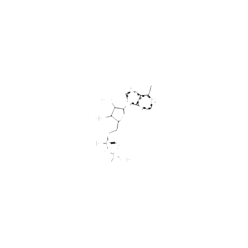 Cc1ncnc2c1ncn2C1OC(COP(=O)(O)OP(C)(=O)O)C(O)C1O